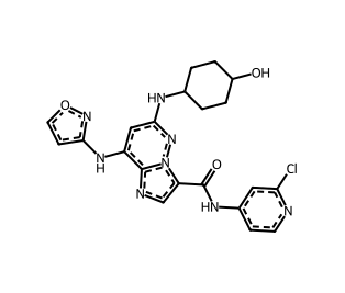 O=C(Nc1ccnc(Cl)c1)c1cnc2c(Nc3ccon3)cc(NC3CCC(O)CC3)nn12